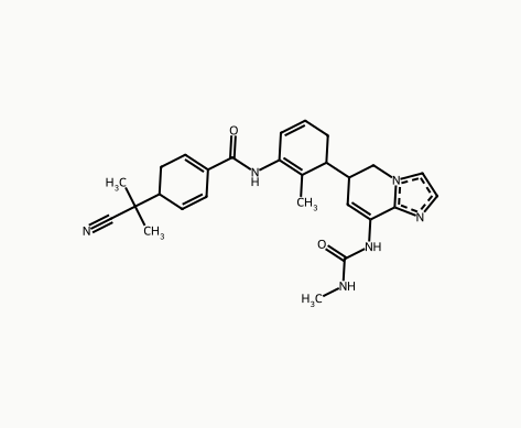 CNC(=O)NC1=CC(C2CC=CC(NC(=O)C3=CCC(C(C)(C)C#N)C=C3)=C2C)Cn2ccnc21